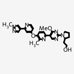 COc1nc(N2CCCC2CCO)ncc1-c1ccc(Oc2ccnc(-c3cnn(C)c3)c2)c(C)n1